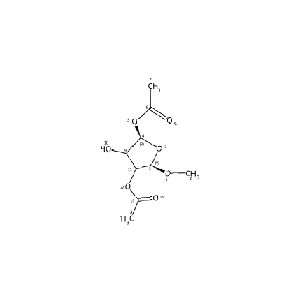 CO[C@@H]1O[C@H](OC(C)=O)C(O)C1OC(C)=O